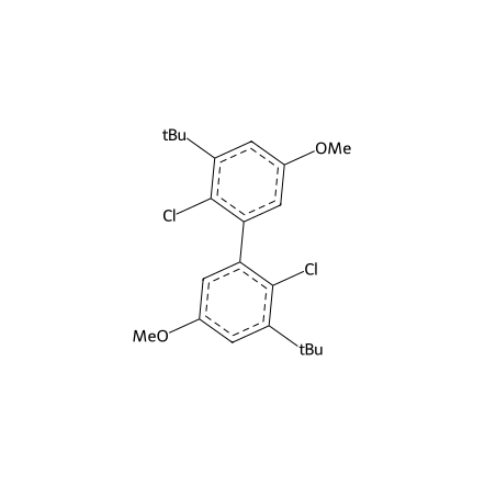 COc1cc(-c2cc(OC)cc(C(C)(C)C)c2Cl)c(Cl)c(C(C)(C)C)c1